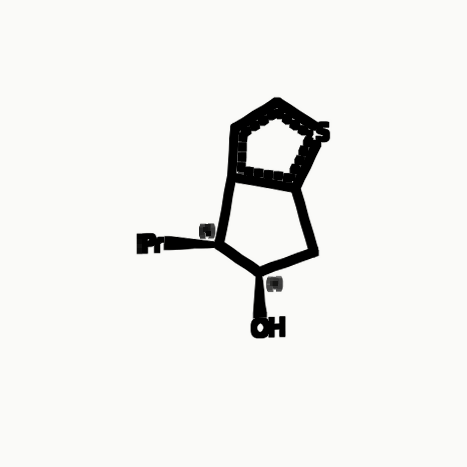 CC(C)[C@H]1c2ccsc2C[C@H]1O